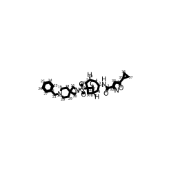 O=C(N[C@H]1C[C@@H]2CC3[C@H](C1)CC3(S(=O)(=O)N1CC3(CCN(Cc4ccccc4)CC3)C1)C2)c1cc(C2CC2)on1